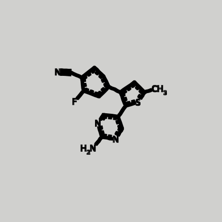 Cc1cc(-c2ccc(C#N)c(F)c2)c(-c2cnc(N)nc2)s1